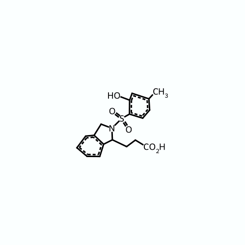 Cc1ccc(S(=O)(=O)N2Cc3ccccc3C2CCC(=O)O)c(O)c1